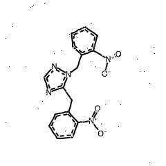 O=[N+]([O-])c1ccccc1Cc1ncnn1Cc1ccccc1[N+](=O)[O-]